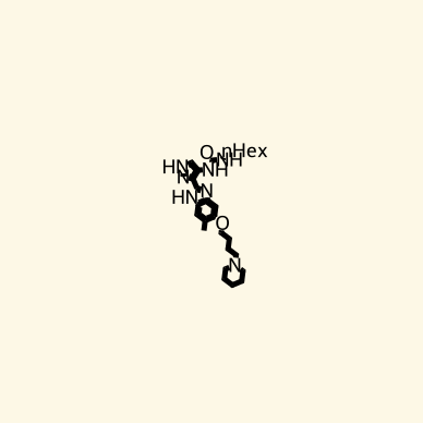 CCCCCCNC(=O)Nc1c[nH]nc1-c1nc2cc(OCCCCN3CCCCC3)c(C)cc2[nH]1